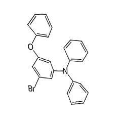 Brc1cc(Oc2ccccc2)cc(N(c2ccccc2)c2ccccc2)c1